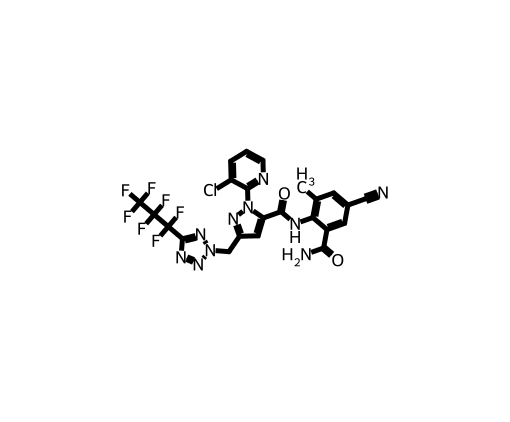 Cc1cc(C#N)cc(C(N)=O)c1NC(=O)c1cc(Cn2nnc(C(F)(F)C(F)(F)C(F)(F)F)n2)nn1-c1ncccc1Cl